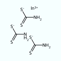 NC(=S)[S-].NC(=S)[S-].NC(=S)[S-].[In+3]